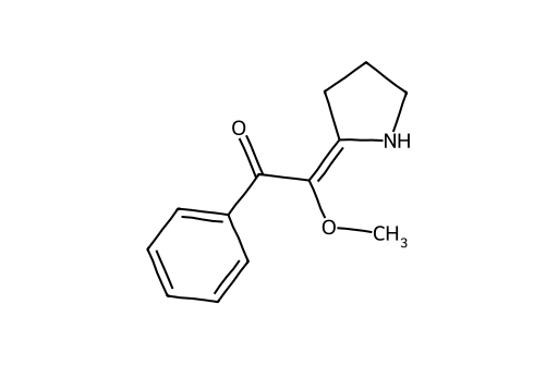 COC(C(=O)c1ccccc1)=C1CCCN1